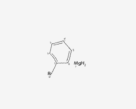 Brc1cc[c]cc1.[MgH2]